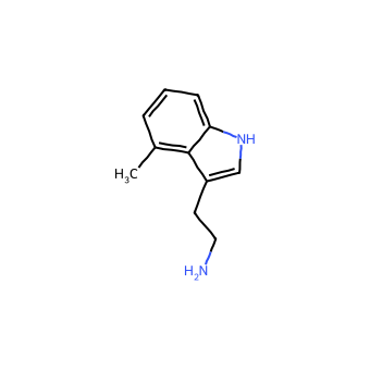 Cc1cccc2[nH]cc(CCN)c12